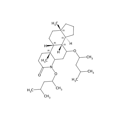 CC(C)CC(C)OC1CC2N(OC(C)CC(C)C)C(=O)CC[C@]2(C)[C@@H]2CC[C@]3(C)CCC[C@H]3[C@H]12